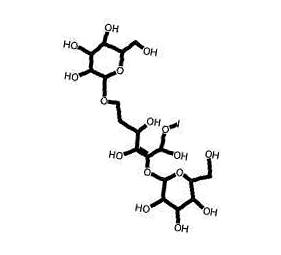 OCC1OC(OCCC(O)/C(O)=C(/OC2OC(CO)C(O)C(O)C2O)C(O)OI)C(O)C(O)C1O